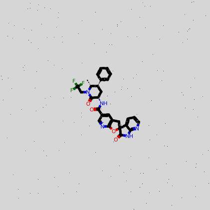 C[C@@H]1[C@H](c2ccccc2)C[C@H](NC(=O)c2cnc3c(c2)CC2(O3)C(=O)Nc3ncccc32)C(=O)N1CC(F)(F)F